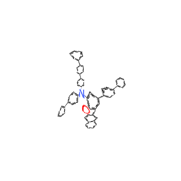 c1ccc(-c2ccc(-c3ccc(N(c4ccc(-c5ccccc5)cc4)c4cc(-c5ccc(-c6ccccc6)cc5)cc5c4oc4cc6ccccc6cc45)cc3)cc2)cc1